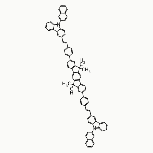 CC1(C)c2cc(-c3ccc(/C=C/c4ccc5c(c4)c4ccccc4n5-c4ccc5ccccc5c4)cc3)ccc2-c2cc3c(cc21)-c1ccc(-c2ccc(/C=C/c4ccc5c(c4)c4ccccc4n5-c4ccc5ccccc5c4)cc2)cc1C3(C)C